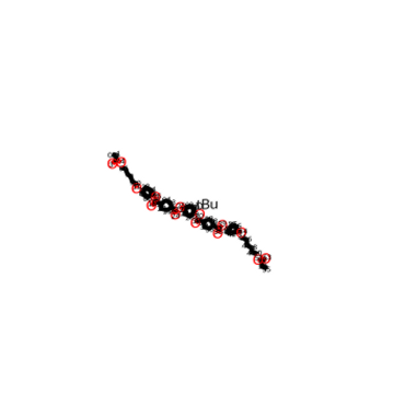 C=CC(=O)OCCCCCCOc1ccc(OC(=O)C2CCC(C(=O)Oc3ccc(OC(=O)C4CCC(C(=O)Oc5ccc(OCCCCCCOC(=O)C=C)cc5)CC4)c(C(C)(C)C)c3)CC2)cc1